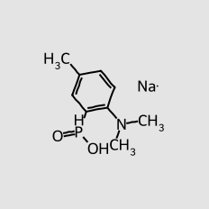 Cc1ccc(N(C)C)c([PH](=O)O)c1.[Na]